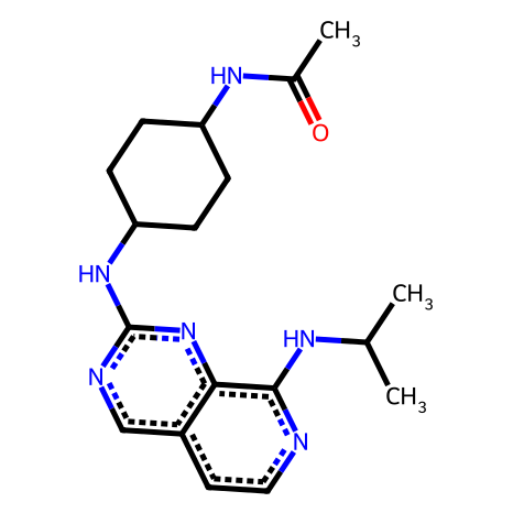 CC(=O)NC1CCC(Nc2ncc3ccnc(NC(C)C)c3n2)CC1